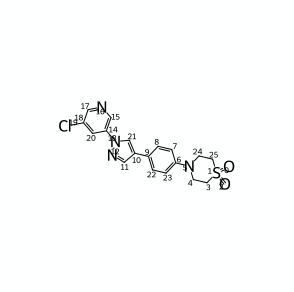 O=S1(=O)CCN(c2ccc(-c3cnn(-c4cncc(Cl)c4)c3)cc2)CC1